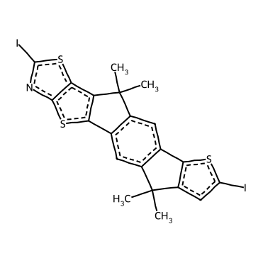 CC1(C)c2cc3c(cc2-c2sc(I)cc21)C(C)(C)c1c-3sc2nc(I)sc12